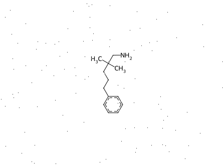 CC(C)(CN)CCCc1ccccc1